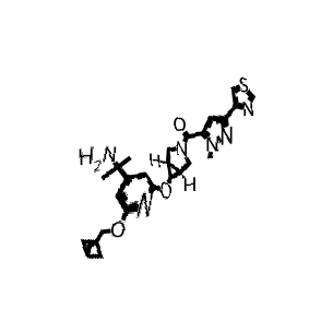 Cn1nc(-c2cscn2)cc1C(=O)N1C[C@@H]2C(Oc3cc(C(C)(C)N)cc(OCC45CC(C4)C5)n3)[C@@H]2C1